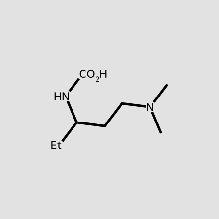 CCC(CCN(C)C)NC(=O)O